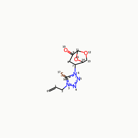 C=CCn1nnn(C2CC(=O)C3OCC2O3)c1=S